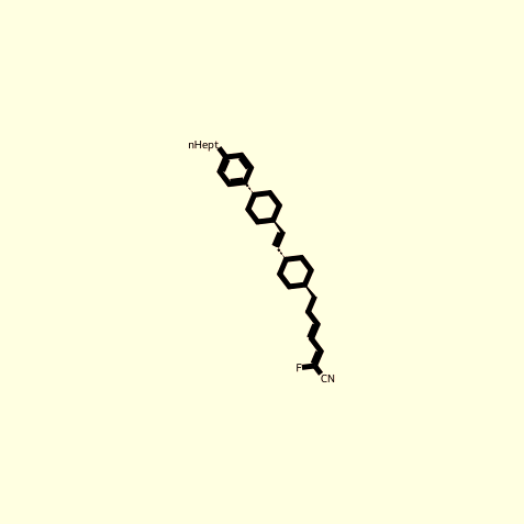 CCCCCCCc1ccc([C@H]2CC[C@H](/C=C/[C@H]3CC[C@H](CCC=CC=C(F)C#N)CC3)CC2)cc1